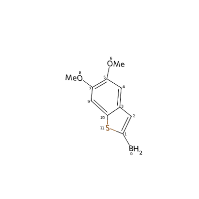 Bc1cc2cc(OC)c(OC)cc2s1